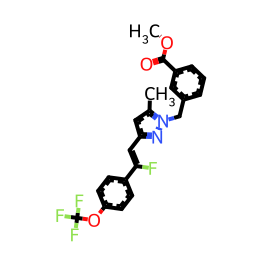 COC(=O)c1cccc(Cn2nc(/C=C(\F)c3ccc(OC(F)(F)F)cc3)cc2C)c1